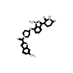 Cc1ccc2cc(C(=O)N3CCC(Oc4cccc5c(C6CCC(=O)NC6=O)nn(C)c45)CC3)sc2c1